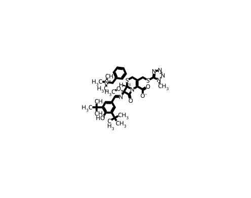 CO[C@@]1(N=Cc2cc(C(C)(C)C)c(O)c(C(C)(C)C)c2)C(=O)N2C(C(=O)[O-])=C(CSc3nnnn3C)CS[C@H]21.C[N+](C)(C)Cc1ccccc1